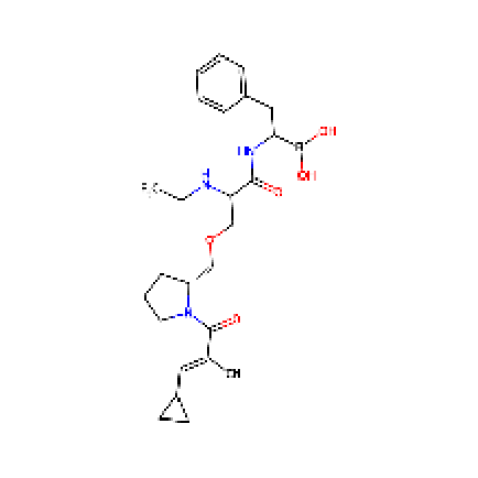 N#CC(=CC1CC1)C(=O)N1CCC[C@@H]1COCC(NCC(F)(F)F)C(=O)NC(Cc1ccccc1)B(O)O